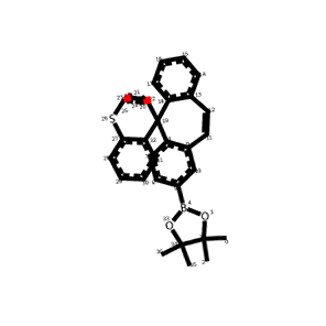 CC1(C)OB(c2ccc3c(c2)C=Cc2ccccc2C32c3ccccc3Sc3ccccc32)OC1(C)C